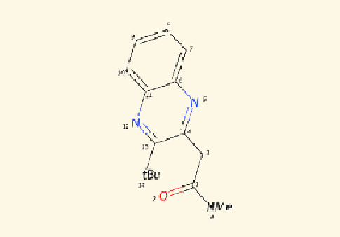 CNC(=O)Cc1nc2ccccc2nc1C(C)(C)C